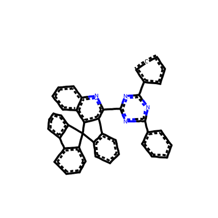 c1ccc(-c2nc(-c3ccccc3)nc(-c3nc4ccccc4c4c3-c3ccccc3C43c4ccccc4-c4ccccc43)n2)cc1